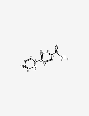 NC(=O)c1cnc(-c2ccncn2)nc1